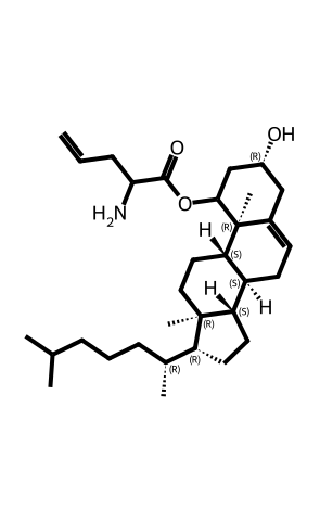 C=CCC(N)C(=O)OC1C[C@H](O)CC2=CC[C@H]3[C@@H]4CC[C@H]([C@H](C)CCCC(C)C)[C@@]4(C)CC[C@@H]3[C@]21C